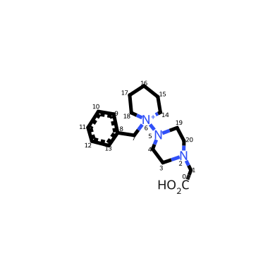 O=C(O)CN1CCN([N+]2(Cc3ccccc3)CCCCC2)CC1